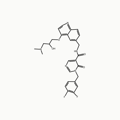 CN(C)CC(O)COc1ccnc2ccc(CNC(=O)c3cncn(Cc4ccc(F)c(F)c4)c3=O)cc12